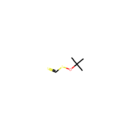 CC(C)(C)OS[C]=S